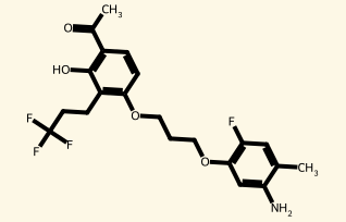 CC(=O)c1ccc(OCCCOc2cc(N)c(C)cc2F)c(CCC(F)(F)F)c1O